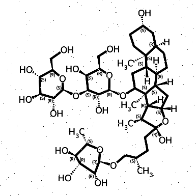 C[C@@H](CC[C@@]1(O)O[C@H]2C[C@H]3[C@@H]4CC[C@@H]5C[C@@H](O)CC[C@]5(C)[C@H]4CC(O[C@@H]4O[C@H](CO)[C@H](O)[C@H](O[C@@H]5O[C@H](CO)[C@@H](O)[C@H](O)[C@H]5O)[C@H]4O)[C@]3(C)[C@H]2[C@@H]1C)CO[C@@H]1O[C@@H](C)[C@H](O)[C@@H](O)[C@H]1O